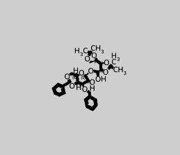 CC1(C)OC[C@H]([C@H]2OC(C)(C)O[C@H]2C(O)O[C@@H]2O[C@@H]3COC(c4ccccc4)O[C@H]3[C@H](OCc3ccccc3)[C@@H]2O)O1